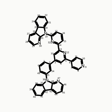 c1cc(-c2cc(-c3ccncc3)nc(-c3cccc(-n4c5ccccc5c5cccnc54)n3)c2)cc(-n2c3ccccc3c3cccnc32)c1